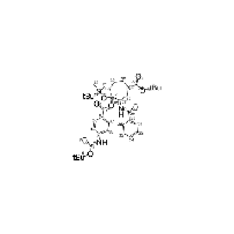 CC(C)(C)OC(=O)Nc1ccc(C(=O)O[C@@]2(O[Si](C)(C)C(C)(C)C)CCCN(C(=O)OC(C)(C)C)C[C@H]2NC(=O)c2ccccc2)cc1